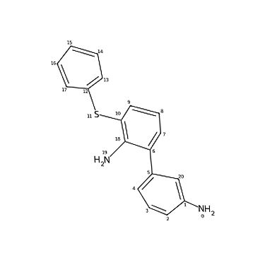 Nc1cccc(-c2cccc(Sc3ccccc3)c2N)c1